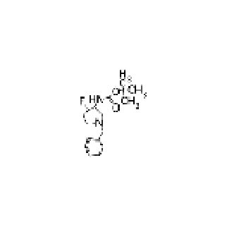 CC(C)(C)OC(=O)N[C@H]1CN(Cc2ccccc2)CC[C@@H]1F